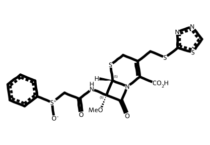 CO[C@@]1(NC(=O)C[S+]([O-])c2ccccc2)C(=O)N2C(C(=O)O)=C(CSc3nncs3)CS[C@H]21